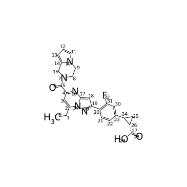 CCc1cc(C(=O)N2CCn3cccc3C2)nc2cc(-c3ccc(C4C[C@@H]4C(=O)O)cc3F)nn12